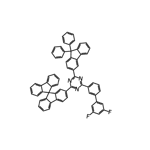 Fc1cc(F)cc(-c2cccc(-c3nc(-c4ccc5c(c4)-c4ccccc4C5(c4ccccc4)c4ccccc4)nc(-c4ccc5c(c4)C4(c6ccccc6-c6ccccc64)c4ccccc4-5)n3)c2)c1